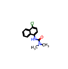 CN(C)C(=O)Nc1ccc(Cl)c2ccccc12